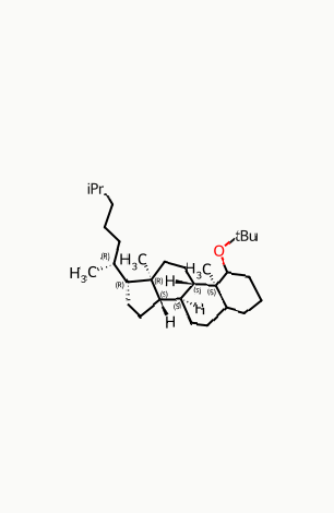 CC(C)CCC[C@@H](C)[C@H]1CC[C@H]2[C@@H]3CCC4CCCC(OC(C)(C)C)[C@]4(C)[C@H]3CC[C@]12C